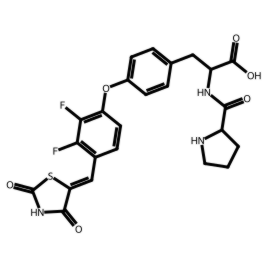 O=C1NC(=O)C(=Cc2ccc(Oc3ccc(CC(NC(=O)C4CCCN4)C(=O)O)cc3)c(F)c2F)S1